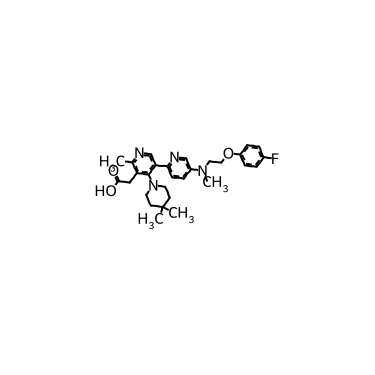 Cc1ncc(-c2ccc(N(C)CCOc3ccc(F)cc3)cn2)c(N2CCC(C)(C)CC2)c1CC(=O)O